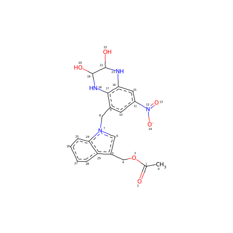 CC(=O)OCc1cn(Cc2cc([N+](=O)[O-])cc3c2NC(O)C(O)N3)c2ccccc12